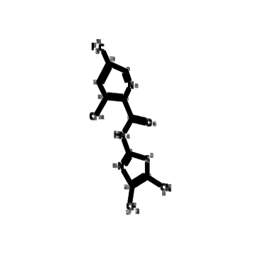 N#Cc1sc(NC(=O)c2ncc(C(F)(F)F)cc2Cl)nc1C(F)(F)F